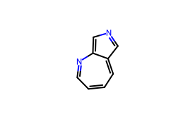 c1ccc2cncc-2nc1